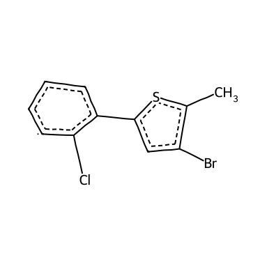 Cc1sc(-c2ccc[c]c2Cl)cc1Br